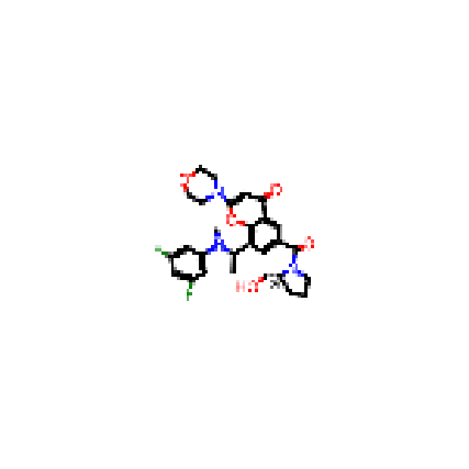 CC(c1cc(C(=O)N2CCC[C@@H]2CO)cc2c(=O)cc(N3CCOCC3)oc12)N(C)c1cc(F)cc(F)c1